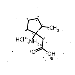 CC1CCCC1(N)CC(=O)O.Cl